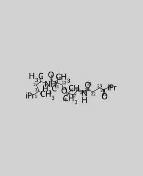 CC(CC(C)C(C)C)NC(=O)C(C)(C)COC(C)(C)CCNC(=O)CCC(=O)C(C)C